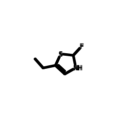 CCC1=CNC(F)S1